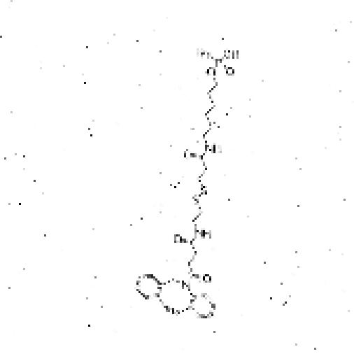 CC(C)P(=O)(O)OCCCCCCNC(=O)CCSSCCNC(=O)CCC(=O)N1Cc2ccccc2C#Cc2ccccc21